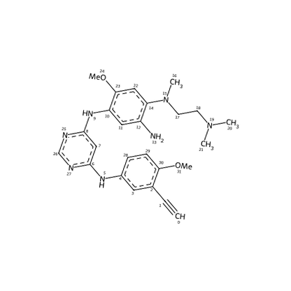 C#Cc1cc(Nc2cc(Nc3cc(N)c(N(C)CCN(C)C)cc3OC)ncn2)ccc1OC